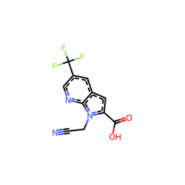 N#CCn1c(C(=O)O)cc2cc(C(F)(F)F)cnc21